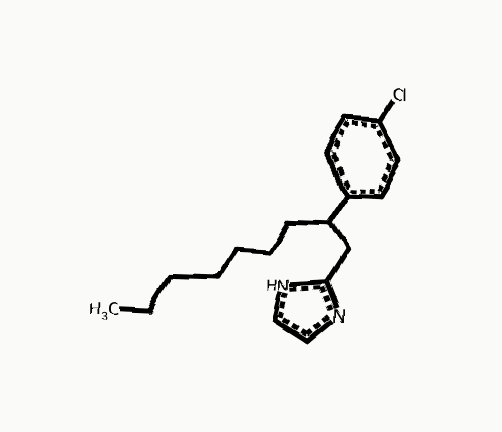 CCCCCCCC(Cc1ncc[nH]1)c1ccc(Cl)cc1